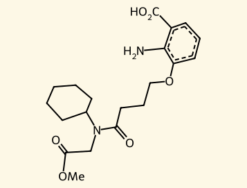 COC(=O)CN(C(=O)CCCOc1cccc(C(=O)O)c1N)C1CCCCC1